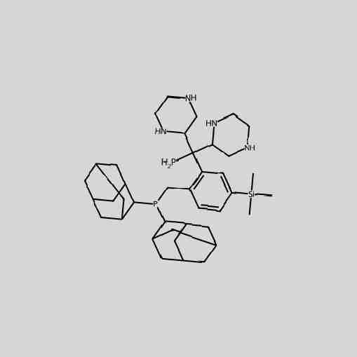 C[Si](C)(C)c1ccc(CP(C2C3CC4CC(C3)CC2C4)C2C3CC4CC(C3)CC2C4)c(C(P)(C2CNCCN2)C2CNCCN2)c1